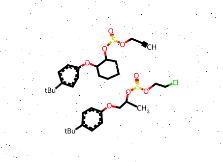 C#CCOS(=O)OC1CCCCC1Oc1ccc(C(C)(C)C)cc1.CC(COc1ccc(C(C)(C)C)cc1)OS(=O)OCCCl